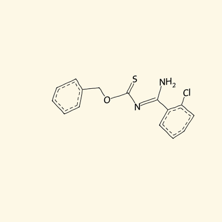 NC(=NC(=S)OCc1ccccc1)c1ccccc1Cl